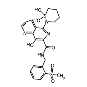 CS(=O)(=O)c1ccccc1CNC(=O)c1nc(N2CCCCS2(O)O)c2cccnc2c1O